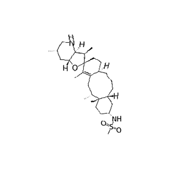 CC1=C2C[C@@H](C)[C@@]3(C)CC[C@@H](NS(C)(=O)=O)C[C@H]3CCC[C@@H]2CC[C@]12O[C@@H]1C[C@H](C)CN[C@H]1[C@H]2C